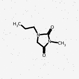 CCCN1CC(=O)N(C)C1=O